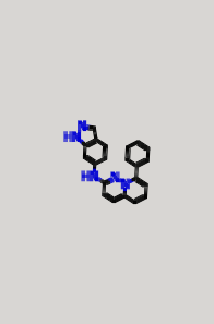 C1=CC(Nc2ccc3cn[nH]c3c2)=NN2C=1C=CC=C2c1ccccc1